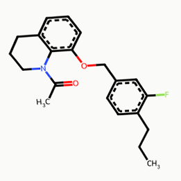 CCCc1ccc(COc2cccc3c2N(C(C)=O)CCC3)cc1F